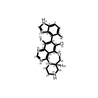 Fc1ccc2[nH]cnc2c1-c1c(Cl)c2c3c(ncnc3c1F)N1CCNC[C@H]1CO2